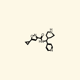 O=C(NC(c1ccncc1)C1CCNCC1)c1cc(C2CC2)on1